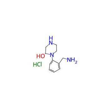 Cl.NCc1ccccc1N1CCNCC1O